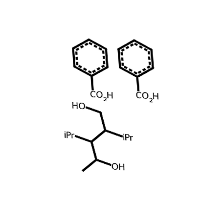 CC(C)C(CO)C(C(C)C)C(C)O.O=C(O)c1ccccc1.O=C(O)c1ccccc1